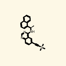 C[C@@H](Nc1ncnc2ccc(C#C[Si](C)(C)C)cc12)c1cccc2ccccc12